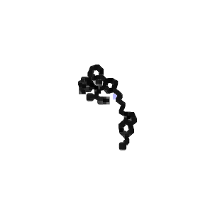 O=Cc1ccc2c(ccn2CC/C=C/c2ccc(-c3ccccc3)c(N(C(=O)O)[C@H]3CN4CCC3CC4)c2)c1